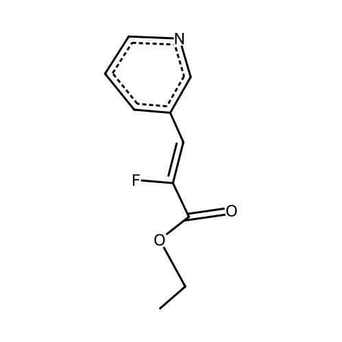 CCOC(=O)C(F)=Cc1cccnc1